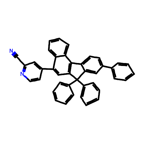 N#Cc1cc(-c2cc3c(c4ccccc24)-c2ccc(-c4ccccc4)cc2C3(c2ccccc2)c2ccccc2)ccn1